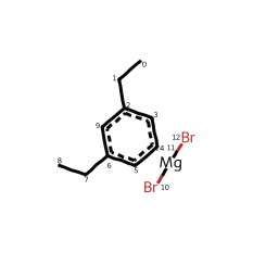 CCc1c[c]cc(CC)c1.[Br][Mg][Br]